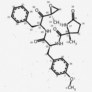 COc1ccc(C[C@H](NC(=O)[C@@]2(C)CCC(=O)N2)C(=O)N[C@@H](Cc2ccccc2)C(=O)[C@]2(C)CO2)cc1